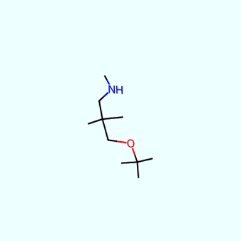 CNCC(C)(C)COC(C)(C)C